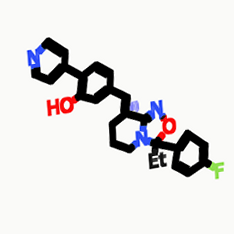 CCC1(c2ccc(F)cc2)ON=C2/C(=C/c3ccc(-c4ccncc4)c(O)c3)CCCN21